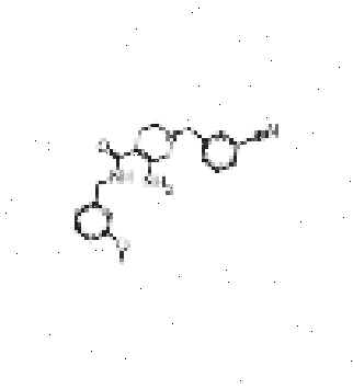 COc1cccc(CNC(=O)C2=C(N)CN(Cc3cccc(C#N)c3)CC2)c1